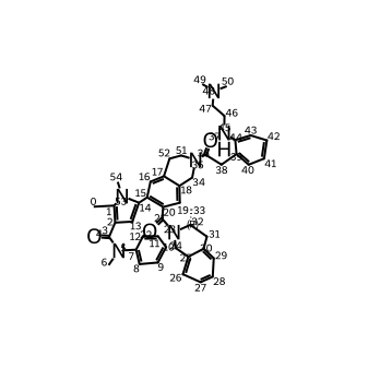 Cc1c(C(=O)N(C)c2ccccc2)cc(-c2cc3c(cc2C(=O)N2Cc4ccccc4C[C@H]2C)CN(C(=O)Cc2ccccc2NCCN(C)C)CC3)n1C